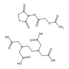 CC(=O)SCC(=O)ON1C(=O)CCC1=O.O=C(O)CN(CCN(CC(=O)O)CC(=O)O)CC(=O)O